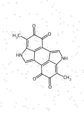 Cc1c(=O)c(=O)c2c3c[nH]c4c(C)c(=O)c(=O)c(c5c[nH]c1c52)c43